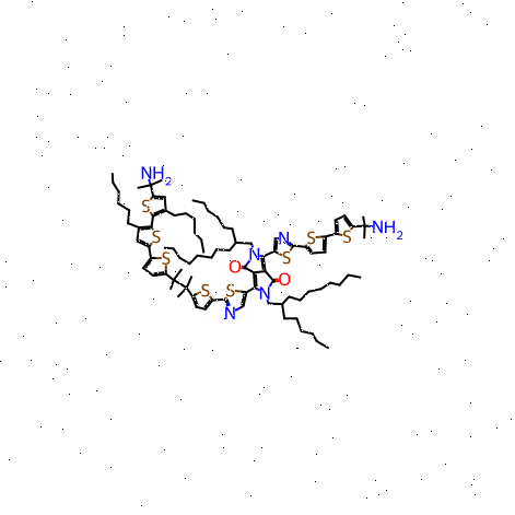 CCCCCCCCC(CCCCCC)CN1C(=O)C2=C(c3cnc(-c4ccc(C(C)(C)C(C)(C)c5ccc(-c6cc(CCCCCC)c(-c7sc(C(C)(C)N)cc7CCCCCC)s6)s5)s4)s3)N(CC(CCCCCC)CCCCCCCC)C(=O)C2=C1c1cnc(-c2ccc(-c3ccc(C(C)(C)N)s3)s2)s1